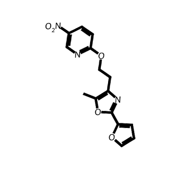 Cc1oc(-c2ccco2)nc1CCOc1ccc([N+](=O)[O-])cn1